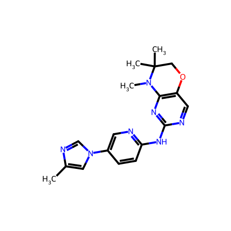 Cc1cn(-c2ccc(Nc3ncc4c(n3)N(C)C(C)(C)CO4)nc2)cn1